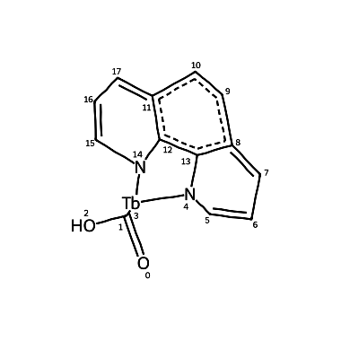 O=[C](O)[Tb]1[N]2C=CC=c3ccc4c(c32)[N]1C=CC=4